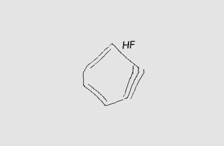 F.c1ccccc#1